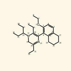 CCOc1ccc2c(c1C1=C(CC)N(C(CC)CC)CC(CC)=N1)CCCC2